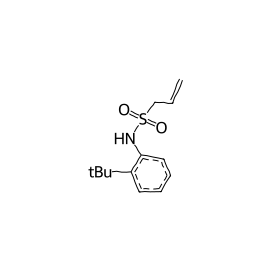 C=CCS(=O)(=O)Nc1ccccc1C(C)(C)C